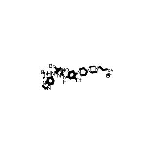 CCc1cc(Nc2ncc(Br)c(Nc3ccc4nccnc4c3P(C)(C)=O)n2)c(OC)cc1N1CCC(N2CCN(CCC[S+](C)[O-])CC2)CC1